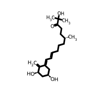 C=C1C(=CC=CCCC[C@@H](C)CCC(=O)C(C)(C)O)C[C@@H](O)C[C@H]1O